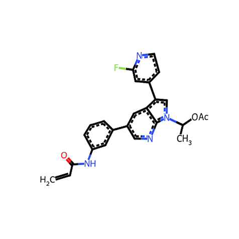 C=CC(=O)Nc1cccc(-c2cnc3c(c2)c(-c2ccnc(F)c2)cn3C(C)OC(C)=O)c1